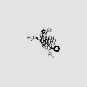 C=CC[C@H](COc1ccn(CC)n1)CS(=O)(=N[Si](C)(C)C(C)(C)C)NC(=O)O[C@@H](C)c1ccccc1